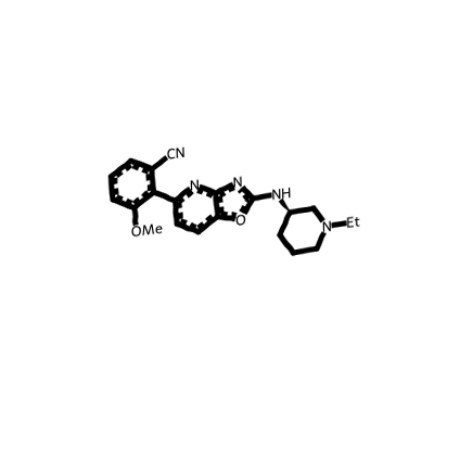 CCN1CCC[C@@H](Nc2nc3nc(-c4c(C#N)cccc4OC)ccc3o2)C1